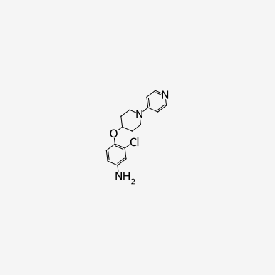 Nc1ccc(OC2CCN(c3ccncc3)CC2)c(Cl)c1